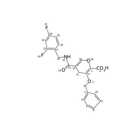 O=C(O)C1=C(OCc2ccccc2)CC(C(=O)NCc2ccc(F)cc2F)=CO1